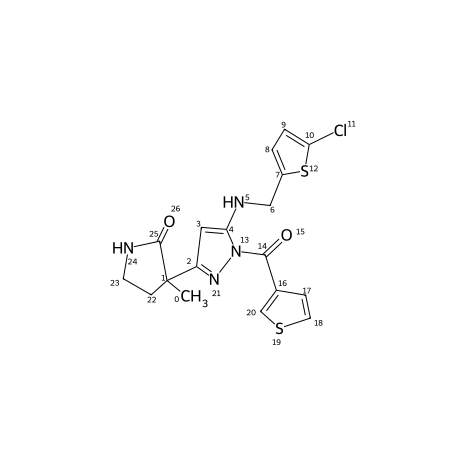 CC1(c2cc(NCc3ccc(Cl)s3)n(C(=O)c3ccsc3)n2)CCNC1=O